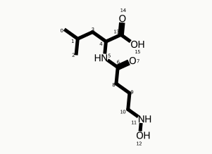 CC(C)CC(NC(=O)CCCNO)C(=O)O